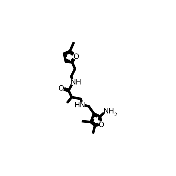 Cc1ccc(CCNC(=O)C(C)CNCc2c(N)oc(C)c2C)o1